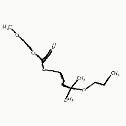 CCCOC(C)(C)CCOC(=O)OCOC